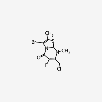 CC1=C(Br)N2C(=O)C(F)=C(CCl)N(C)C2S1